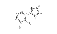 Fc1c(Br)cccc1-c1nnco1